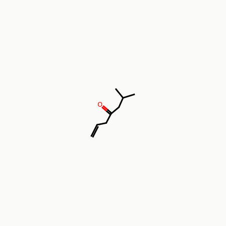 C=CCC(=O)CC(C)C